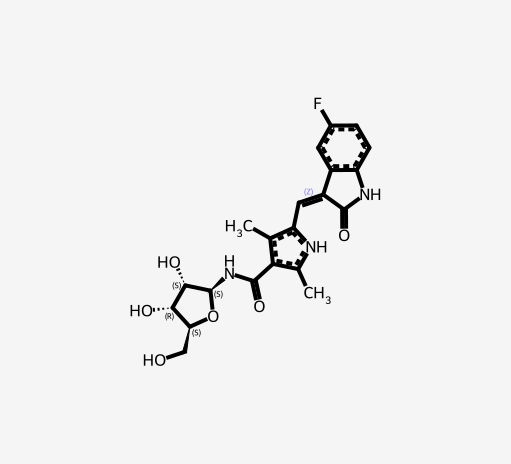 Cc1[nH]c(/C=C2\C(=O)Nc3ccc(F)cc32)c(C)c1C(=O)N[C@H]1O[C@@H](CO)[C@H](O)[C@@H]1O